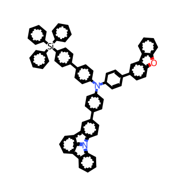 C1=CC(N(c2ccc(-c3ccc([Si](c4ccccc4)(c4ccccc4)c4ccccc4)cc3)cc2)c2ccc(-c3ccc4c(c3)c3cccc5c6ccccc6n4c53)cc2)CC=C1c1ccc2oc3ccccc3c2c1